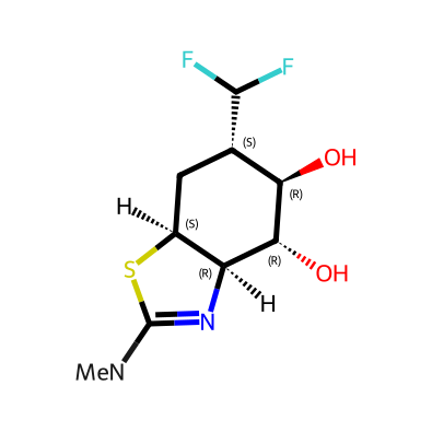 CNC1=N[C@@H]2[C@@H](O)[C@H](O)[C@@H](C(F)F)C[C@@H]2S1